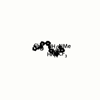 CNC(=O)c1ccccc1Nc1nc(Nc2ccc(CNc3cccc(C4CCCN(C(=O)/C=C/C5CCCN5C)C4)c3)cc2)ncc1C(F)(F)F